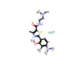 CCOc1c(-c2nc(C)c(C(=O)NCCN(C(C)C)C(C)C)s2)ccc(N(CC)CC)c1C#N.Cl